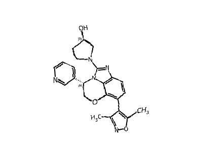 Cc1noc(C)c1-c1ccc2nc(N3CC[C@@H](O)C3)n3c2c1OC[C@@H]3c1cccnc1